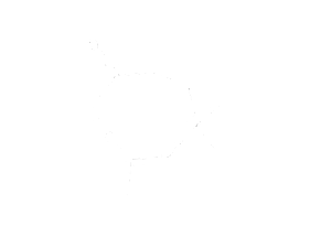 CC1CSC(=O)CCC(C)(C)C1